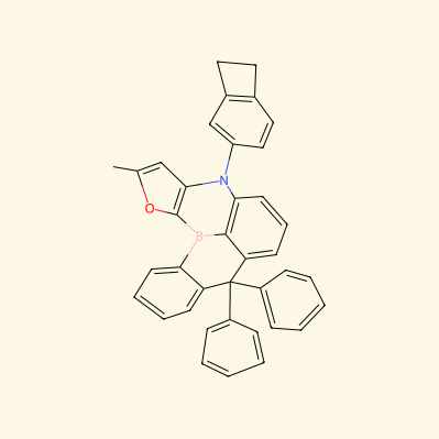 Cc1cc2c(o1)B1c3ccccc3C(c3ccccc3)(c3ccccc3)c3cccc(c31)N2c1ccc2c(c1)CC2